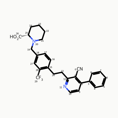 N#Cc1c(-c2ccccc2)ccnc1CCc1ccc(CN2CCCC[C@H]2C(=O)O)cc1C(F)(F)F